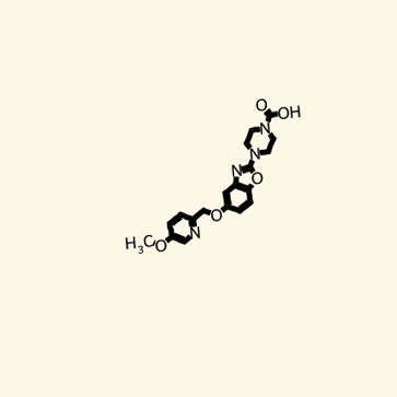 COc1ccc(COc2ccc3oc(N4CCN(C(=O)O)CC4)nc3c2)nc1